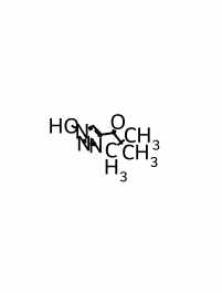 CC(C)(C)C(=O)c1cn(O)nn1